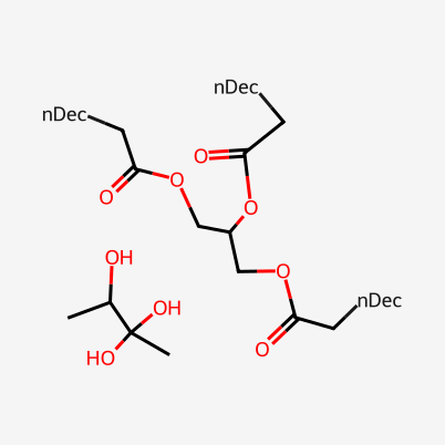 CC(O)C(C)(O)O.CCCCCCCCCCCC(=O)OCC(COC(=O)CCCCCCCCCCC)OC(=O)CCCCCCCCCCC